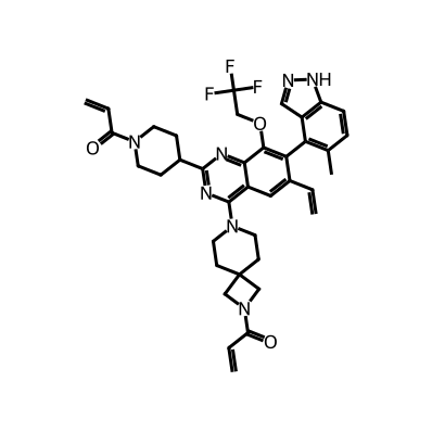 C=CC(=O)N1CCC(c2nc(N3CCC4(CC3)CN(C(=O)C=C)C4)c3cc(C=C)c(-c4c(C)ccc5[nH]ncc45)c(OCC(F)(F)F)c3n2)CC1